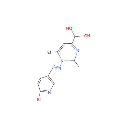 CCC1=CC(C(O)O)=NC(C)N1/N=C/c1ccc(Br)nc1